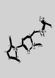 CC(=O)NCc1cc(-n2c(C)ccc2C)nn1C